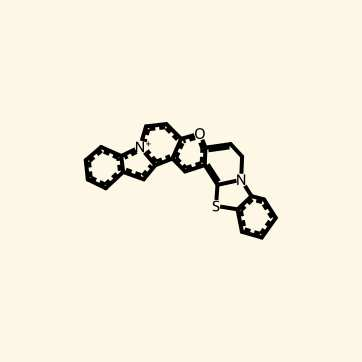 C1=c2oc3cc[n+]4c5ccccc5cc4c3cc2=C2Sc3ccccc3N2C1